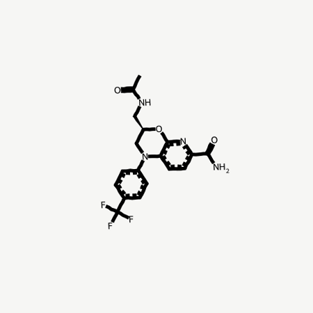 CC(=O)NC[C@@H]1CN(c2ccc(C(F)(F)F)cc2)c2ccc(C(N)=O)nc2O1